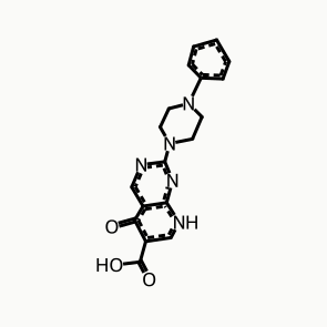 O=C(O)c1c[nH]c2nc(N3CCN(c4ccccc4)CC3)ncc2c1=O